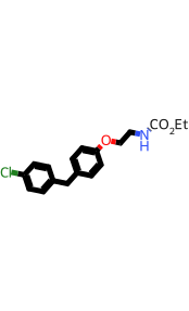 CCOC(=O)NCCOc1ccc(Cc2ccc(Cl)cc2)cc1